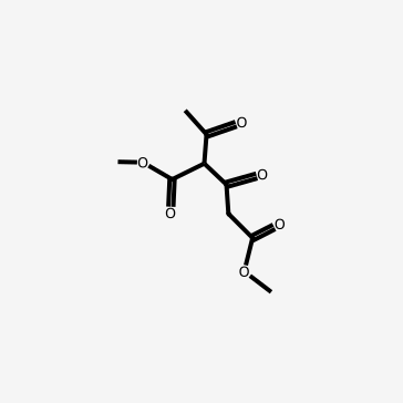 COC(=O)CC(=O)C(C(C)=O)C(=O)OC